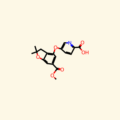 COC(=O)c1cc(Oc2ccc(C(=O)O)nc2)c2c(c1)OC(C)(C)C2